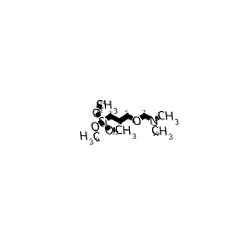 CO[Si](CCCOCN(C)C)(OC)OC